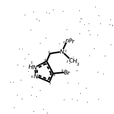 CCCN(C)Cc1[nH]ncc1Br